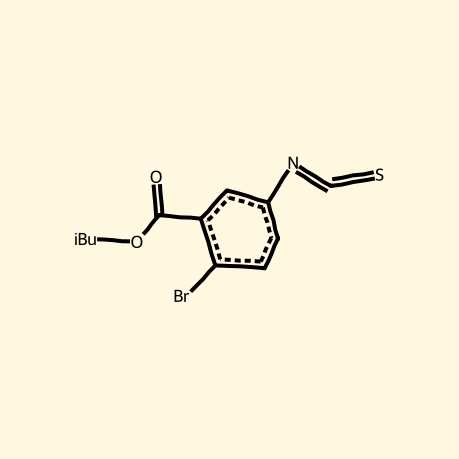 CCC(C)OC(=O)c1cc(N=C=S)ccc1Br